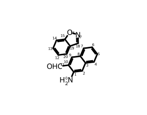 Nc1cc2ccccc2cc1C=O.c1ccc2oncc2c1